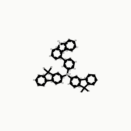 CC1(C)c2ccccc2-c2cc(N(c3cccc(-c4cccc5sc6ccccc6c45)c3)c3ccc4c(c3)C(C)(C)c3ccccc3-4)ccc21